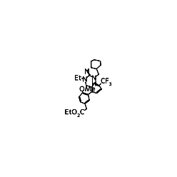 CCOC(=O)Cc1ccc(OC)c(-c2ccc(C(F)(F)F)cc2CN(CC)/C(=N/C)NCC2CCCCC2)c1